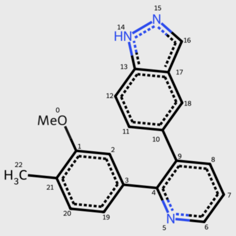 COc1cc(-c2ncccc2-c2ccc3[nH]ncc3c2)ccc1C